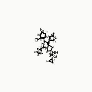 Cn1cc(C2=C3C[C@H](NS(=O)(=O)C4CC4)CN3C(c3nccs3)=N[C@H]2c2ccc(F)cc2Cl)cn1